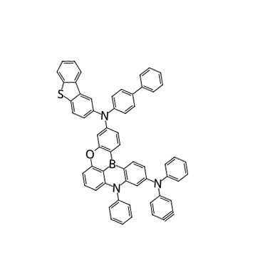 c1ccc(N(c2ccccc2)c2ccc3c(c2)N(c2ccccc2)c2cccc4c2B3c2ccc(N(c3ccc(-c5ccccc5)cc3)c3ccc5sc6ccccc6c5c3)cc2O4)cc#1